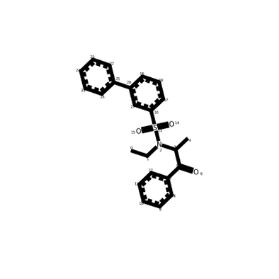 CCN(C(C)C(=O)c1ccccc1)S(=O)(=O)c1cccc(-c2ccccc2)c1